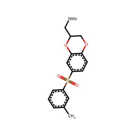 CNCC1COc2ccc(S(=O)(=O)c3cccc(C)c3)cc2O1